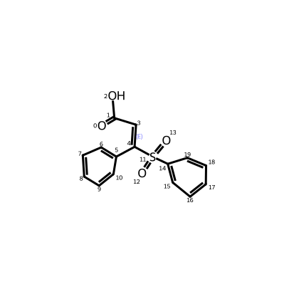 O=C(O)/C=C(\c1ccccc1)S(=O)(=O)c1ccccc1